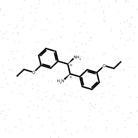 CCOc1cccc([C@@H](N)[C@H](N)c2cccc(OCC)c2)c1